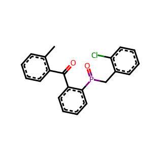 Cc1ccccc1C(=O)c1ccccc1[P](=O)Cc1ccccc1Cl